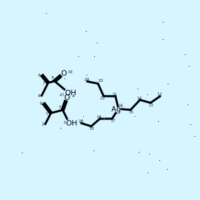 C=C(C)C(=O)O.C=C(C)C(=O)O.CCC[CH2][Ag]([CH2]CCC)[CH2]CCC